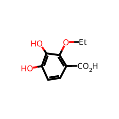 CCOc1c(C(=O)O)ccc(O)c1O